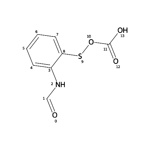 O=CNc1ccccc1SOC(=O)O